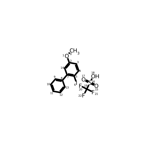 COc1ccc(I)c(-c2ccccc2)c1.O=S(=O)(O)C(F)(F)F